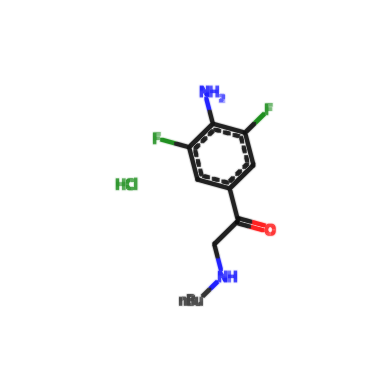 CCCCNCC(=O)c1cc(F)c(N)c(F)c1.Cl